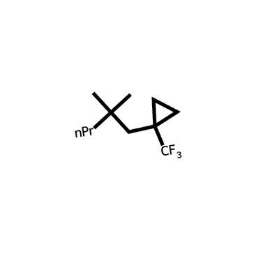 CCCC(C)(C)CC1(C(F)(F)F)CC1